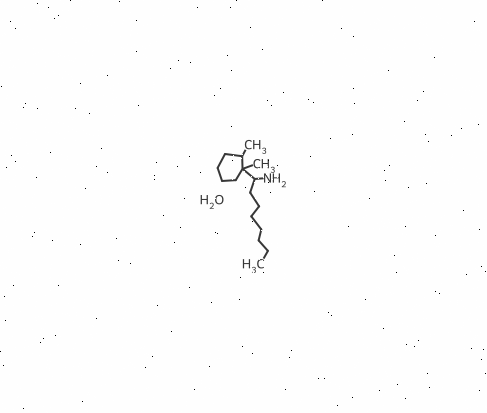 CCCCCCCC(N)C1(C)CCCCC1C.O